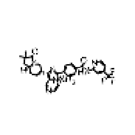 CC1(C)C[C@@H]2CC[C@@H](C3=C4C=NC=C[N+]4(N)C(c4ccc(C(=O)Nc5cc(C(F)(F)F)ccn5)cc4)=N3)CN2C1=O